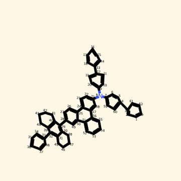 c1ccc(-c2ccc(N(c3ccc(-c4ccccc4)cc3)c3ccc4c5ccc(-c6c7c(c(-c8ccccc8)c8c6CCCC8)CCCC7)cc5c5ccccc5c4c3)cc2)cc1